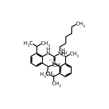 CCCCCCN/C(=N\c1c(C(C)C)cccc1C(C)C)Nc1c(C(C)C)cccc1C(C)C